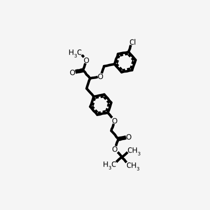 COC(=O)C(Cc1ccc(OCC(=O)OC(C)(C)C)cc1)OCc1cccc(Cl)c1